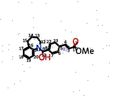 COC(=O)/C=C/C1C=CC(C(O)N2CCCCc3ccccc32)=CC1